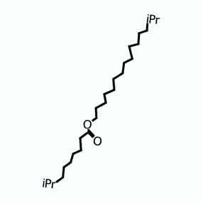 CC(C)CCCCCCCCCCCCCOC(=O)CCCCCCC(C)C